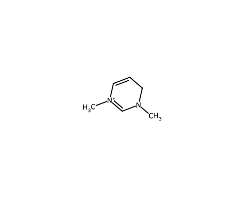 CN1C=[N+](C)C=CC1